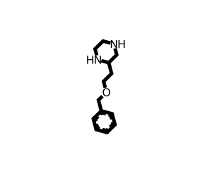 c1ccc(COCCC2CNCCN2)cc1